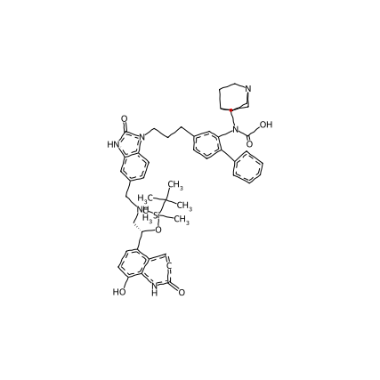 CC(C)(C)[Si](C)(C)O[C@@H](CNCc1ccc2c(c1)[nH]c(=O)n2CCCc1ccc(-c2ccccc2)c(N(C(=O)O)C2CN3CCC2CC3)c1)c1ccc(O)c2[nH]c(=O)ccc12